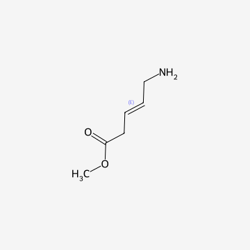 COC(=O)C/C=C/CN